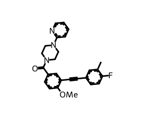 COc1ccc(C(=O)N2CCN(c3ccccn3)CC2)cc1C#Cc1ccc(F)c(C)c1